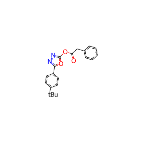 CC(C)(C)c1ccc(-c2nnc(OC(=O)Cc3ccccc3)o2)cc1